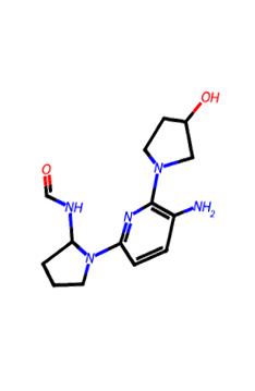 Nc1ccc(N2CCCC2NC=O)nc1N1CCC(O)C1